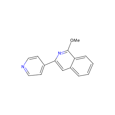 COc1nc(-c2ccncc2)cc2ccccc12